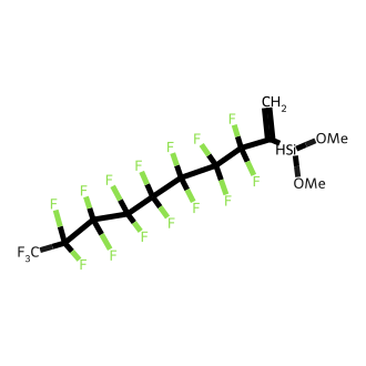 C=C([SiH](OC)OC)C(F)(F)C(F)(F)C(F)(F)C(F)(F)C(F)(F)C(F)(F)C(F)(F)C(F)(F)F